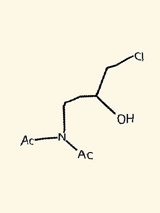 CC(=O)N(CC(O)CCl)C(C)=O